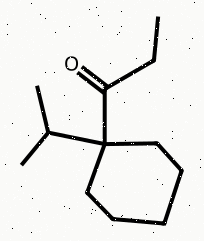 CCC(=O)C1(C(C)C)CCCCC1